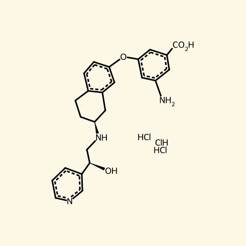 Cl.Cl.Cl.Nc1cc(Oc2ccc3c(c2)C[C@@H](NC[C@@H](O)c2cccnc2)CC3)cc(C(=O)O)c1